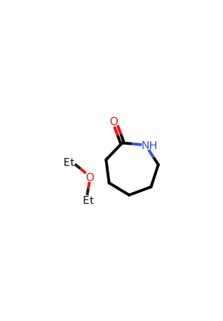 CCOCC.O=C1CCCCCN1